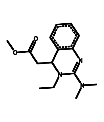 CCN1C(N(C)C)=Nc2ccccc2C1CC(=O)OC